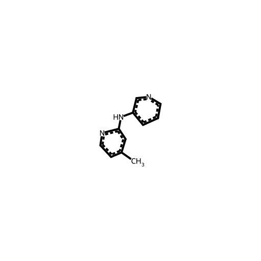 Cc1ccnc(Nc2cccnc2)c1